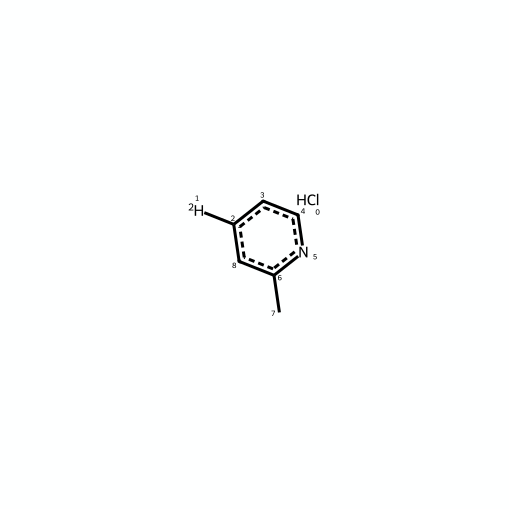 Cl.[2H]c1ccnc(C)c1